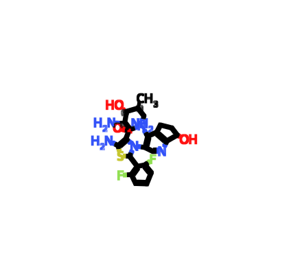 C[C@H]1CN(c2c(N3C(C(N)=O)=C(N)SC3c3c(F)cccc3F)cnc3c2CCC3O)C[C@@H](N)[C@@H]1O